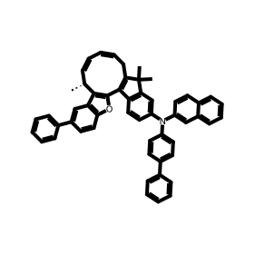 C[C@@H]1/C=C\C=C/CC2=C(c3ccc(N(c4ccc(-c5ccccc5)cc4)c4ccc5ccccc5c4)cc3C2(C)C)c2oc3ccc(-c4ccccc4)cc3c21